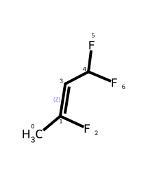 C/C(F)=C/C(F)F